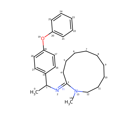 CC(/N=C1\CCCCCCCCCN1C)c1ccc(Oc2ccccc2)cc1